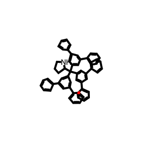 c1ccc(-c2cc(-c3ccccc3)cc(C(c3cc(-c4ccccc4)cc(-c4ccccc4)c3)(c3cc(-c4ccccc4)cc(-c4ccccc4)c3)C3CCCN3)c2)cc1